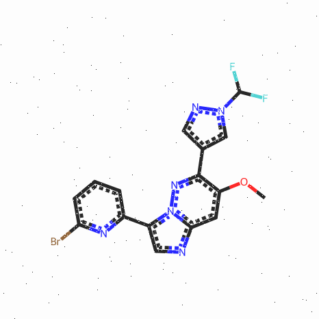 COc1cc2ncc(-c3cccc(Br)n3)n2nc1-c1cnn(C(F)F)c1